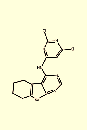 Clc1cc(Nc2ncnc3[se]c4c(c23)CCCC4)nc(Cl)n1